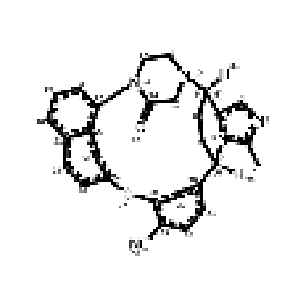 Cc1ncc2n1[C@H]1CC[C@@H]2N2CCN(C(=O)C2)c2cccc3ccc(cc23)Oc2cc1ccc2C#N